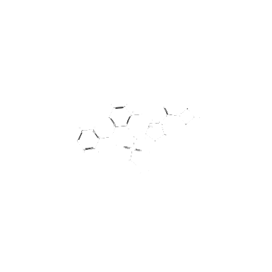 CCS(=O)(=O)N[C@H]1CCN(C(=O)N2CCC2)[C@H]1Cc1cccc(Oc2ccccc2)c1